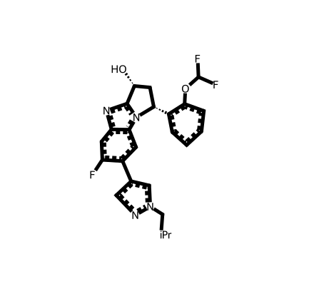 CC(C)Cn1cc(-c2cc3c(cc2F)nc2n3[C@@H](c3ccccc3OC(F)F)C[C@H]2O)cn1